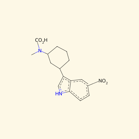 CN(C(=O)O)C1CCCC(c2c[nH]c3ccc([N+](=O)[O-])cc23)C1